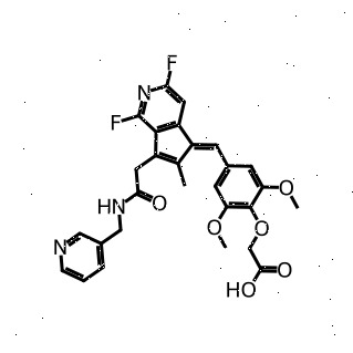 COc1cc(C=C2C(C)=C(CC(=O)NCc3cccnc3)c3c2cc(F)nc3F)cc(OC)c1OCC(=O)O